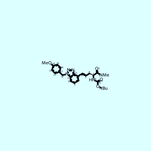 CNC(=O)[C@H](C/C=C/c1cccc2c1nnn2Cc1ccc(OC)cc1)NC(=O)OC(C)(C)C